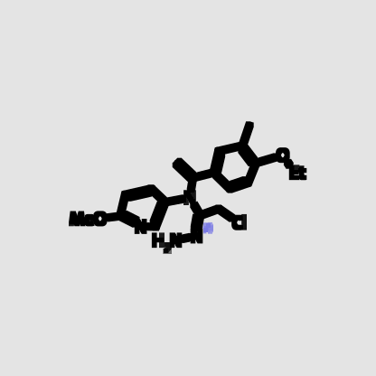 C=C(c1ccc(OCC)c(C)c1)N(/C(CCl)=N\N)c1ccc(OC)nc1